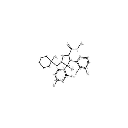 CC1(CC2NC(C(=O)OC(C)(C)C)C(c3cccc(Cl)c3F)C2(C#N)c2ccc(Cl)cc2F)CCCCC1